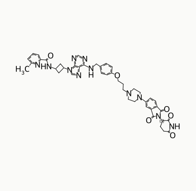 Cc1cccc(C(=O)NC2CC(n3cnc4c(NCc5ccc(OCCCN6CCN(c7ccc8c(c7)C(=O)N([C@H]7CCC(=O)NC7=O)C8=O)CC6)cc5)ncnc43)C2)n1